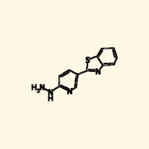 NNc1ccc(-c2nc3ccccc3s2)cn1